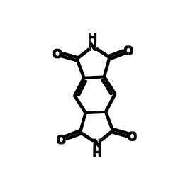 O=C1NC(=O)C2=CC3C(=O)NC(=O)C3C=C12